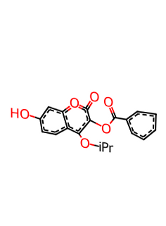 CC(C)Oc1c(OC(=O)c2ccccc2)c(=O)oc2cc(O)ccc12